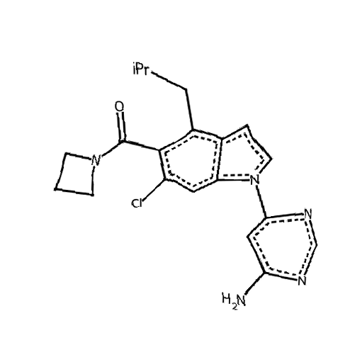 CC(C)Cc1c(C(=O)N2CCC2)c(Cl)cc2c1ccn2-c1cc(N)ncn1